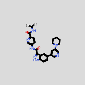 CCC(CC)NC(=O)c1ccc(NC(=O)c2n[nH]c3ccc(-c4cncc(N5CCCCC5)c4)cc23)cn1